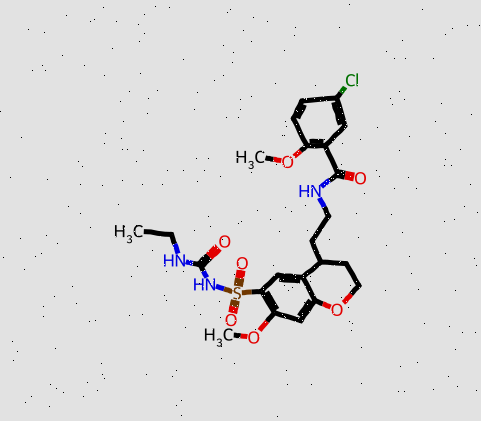 CCNC(=O)NS(=O)(=O)c1cc2c(cc1OC)OCCC2CCNC(=O)c1cc(Cl)ccc1OC